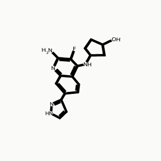 Nc1nc2cc(-c3cc[nH]n3)ccc2c(NC2CCC(O)C2)c1F